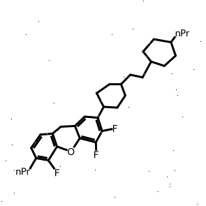 CCCc1ccc2c(c1F)Oc1c(cc(C3CCC(CCC4CCC(CCC)CC4)CC3)c(F)c1F)C2